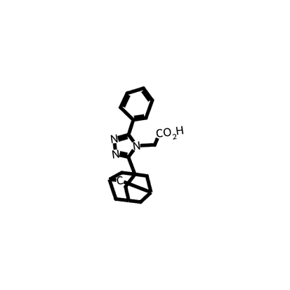 O=C(O)Cn1c(-c2ccccc2)nnc1C12CC3CC(CC(C3)C1)C2